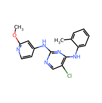 COc1cc(Nc2ncc(Cl)c(Nc3ccccc3C)n2)ccn1